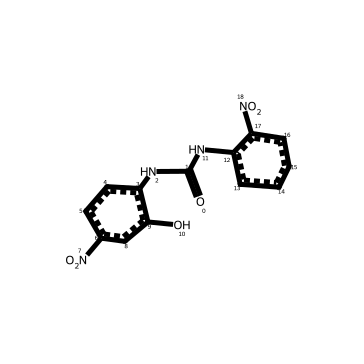 O=C(Nc1ccc([N+](=O)[O-])cc1O)Nc1ccccc1[N+](=O)[O-]